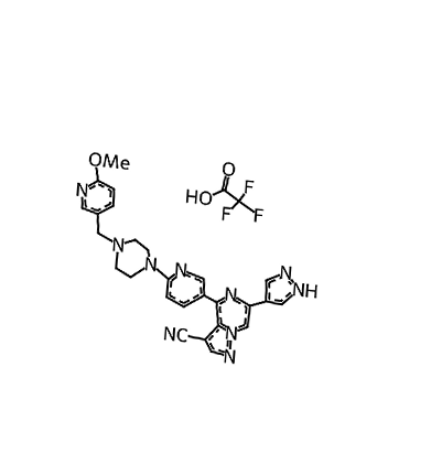 COc1ccc(CN2CCN(c3ccc(-c4nc(-c5cn[nH]c5)cn5ncc(C#N)c45)cn3)CC2)cn1.O=C(O)C(F)(F)F